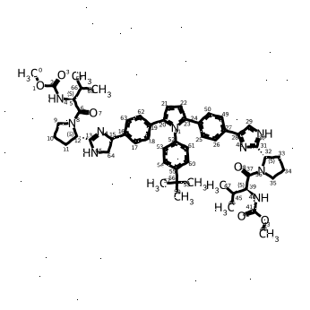 COC(=O)N[C@H](C(=O)N1CCC[C@H]1C1=NC(c2ccc(-c3ccc(-c4ccc(-c5c[nH]c([C@@H]6CCCN6C(=O)[C@@H](NC(=O)OC)C(C)C)n5)cc4)n3-c3ccc(C(C)(C)C)cc3)cc2)CN1)C(C)C